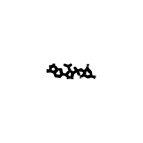 CC(C)n1c(-c2ccc3[nH]nnc3c2)nnc1C(C)(C)Oc1c(F)cc(F)cc1F